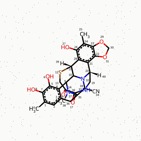 Cc1cc2c(c(O)c1O)C1C3[C@@H]4SCC(=O)C(=O)NC[C@@H](c5c6c(c(C)c(O)c54)OCO6)N3[C@@H](C#N)C(C2)N1C